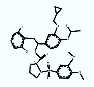 COc1ccc(S(=O)(=O)N2CCS[C@H]2C(=O)OC(Cc2c(Cl)cncc2Cl)c2ccc(OC(F)F)c(OCC3CC3)c2)cc1OC